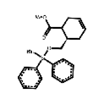 COC(=O)C1CC=CC[C@H]1CO[Si](c1ccccc1)(c1ccccc1)C(C)(C)C